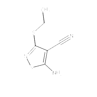 CCSc1nsc(N)c1C#N